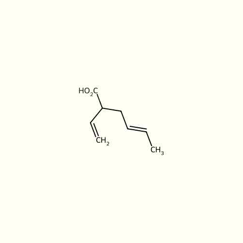 C=CC(CC=CC)C(=O)O